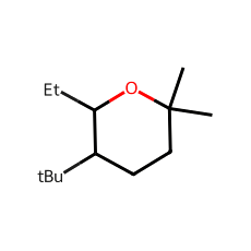 CCC1OC(C)(C)CCC1C(C)(C)C